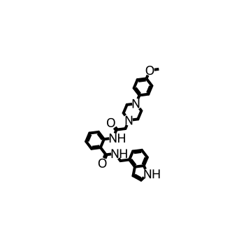 COc1ccc(N2CCN(CC(=O)Nc3ccccc3C(=O)NCc3cccc4[nH]ccc34)CC2)cc1